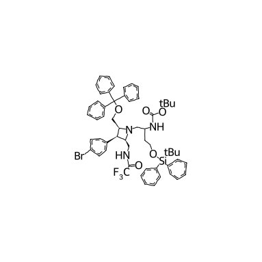 CC(C)(C)OC(=O)NC(CCO[Si](c1ccccc1)(c1ccccc1)C(C)(C)C)CN1[C@H](COC(c2ccccc2)(c2ccccc2)c2ccccc2)[C@H](c2ccc(Br)cc2)[C@@H]1CNC(=O)C(F)(F)F